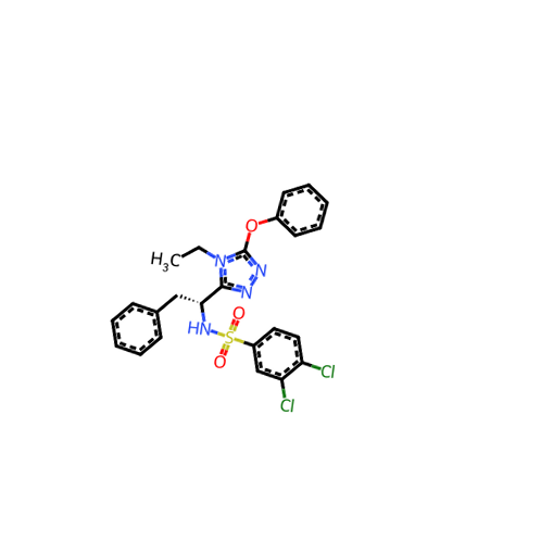 CCn1c(Oc2ccccc2)nnc1[C@@H](Cc1ccccc1)NS(=O)(=O)c1ccc(Cl)c(Cl)c1